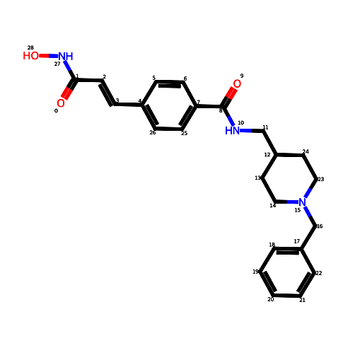 O=C(/C=C/c1ccc(C(=O)NCC2CCN(Cc3ccccc3)CC2)cc1)NO